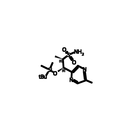 Cc1cnc([C@H](O[Si](C)(C)C(C)(C)C)[C@H](C)S(N)(=O)=O)cn1